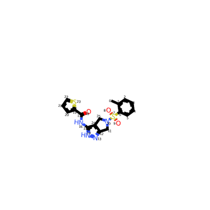 Cc1ccccc1S(=O)(=O)N1Cc2n[nH]c(NC(=O)c3cccs3)c2C1